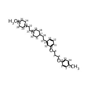 Cc1ccc(OCCCOc2cccc(CCC3CCN(CCN4CCN(C)CC4)CC3)c2)cc1